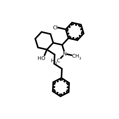 CN(C)C(c1ccccc1Cl)C1CCCCC1(O)CCCc1ccccc1